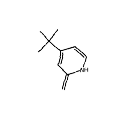 C=C1C=C(C(C)(C)C)C=CN1